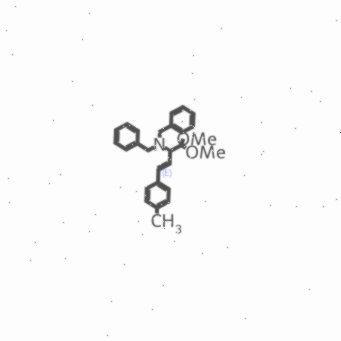 COC(OC)C(/C=C/c1ccc(C)cc1)N(Cc1ccccc1)Cc1ccccc1